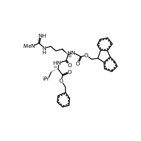 CNC(=N)NCCC[C@@H](NC(=O)OCC1c2ccccc2-c2ccccc21)C(=O)N[C@@H](CC(C)C)C(=O)OCc1ccccc1